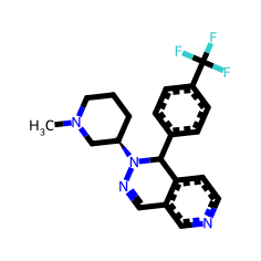 CN1CCC[C@@H](N2N=Cc3cnccc3C2c2ccc(C(F)(F)F)cc2)C1